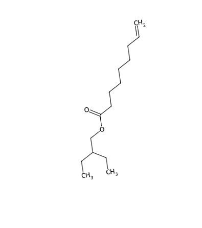 C=CCCCCCCC(=O)OCC(CC)CC